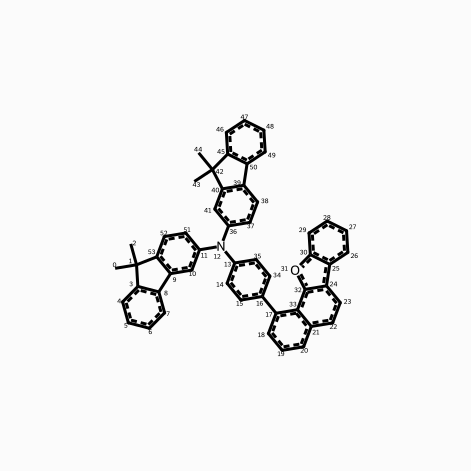 CC1(C)c2ccccc2-c2cc(N(c3ccc(-c4cccc5ccc6c7ccccc7oc6c45)cc3)c3ccc4c(c3)C(C)(C)c3ccccc3-4)ccc21